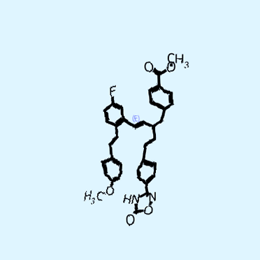 COC(=O)c1ccc(CC(/C=C/c2cc(F)ccc2CCc2ccc(OC)cc2)CCc2ccc(-c3noc(=O)[nH]3)cc2)cc1